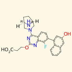 O=C(O)CCOc1nc(N2C[C@H]3CC[C@@H](C2)N3)c2ccc(-c3cc(O)cc4ccccc34)c(F)c2n1